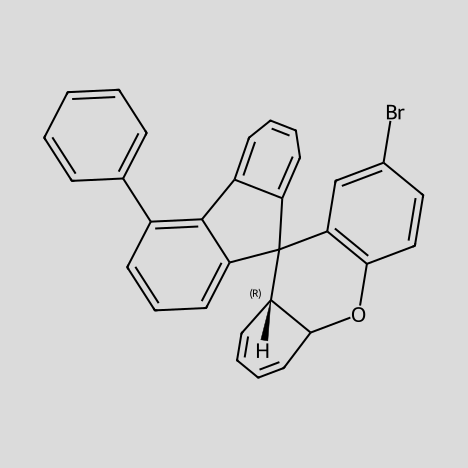 Brc1ccc2c(c1)C1(c3ccccc3-c3c(-c4ccccc4)cccc31)[C@H]1C=CC=CC1O2